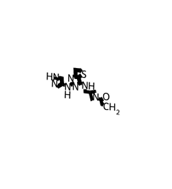 C=CC(=O)N1CC(CNc2nc(Nc3cn[nH]c3)nc3ccsc23)C1